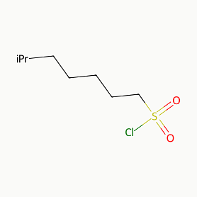 CC(C)CCCCCS(=O)(=O)Cl